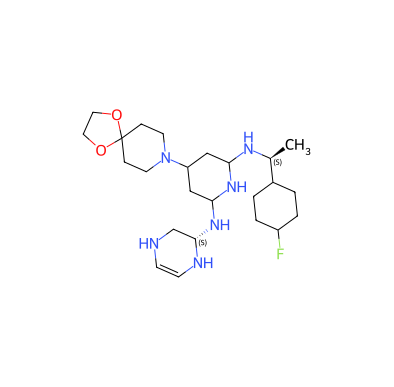 C[C@H](NC1CC(N2CCC3(CC2)OCCO3)CC(N[C@H]2CNC=CN2)N1)C1CCC(F)CC1